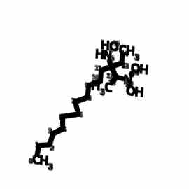 CCCCCCCCCCCCC(CC)(NO)C(C)N(O)O